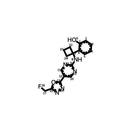 Oc1ccccc1C1(Nc2ncc(-c3nnc(CF)o3)cn2)CCC1